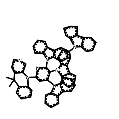 CC1(C)c2ccccc2N(c2cc(-n3c4ccccc4c4ccccc43)c(-n3c4ccccc4c4cc(-n5c6ccccc6c6ccccc65)ccc43)c(-n3c4ccccc4c4ccccc43)n2)c2cnccc21